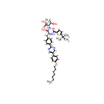 CCCCCCCOc1ccc(-c2cnc(-c3ccc(C[C@H](NC(=O)c4ccc(C(C)(C)C)s4)C(O)N[C@H](C(=O)O)[C@@H](C)O)cc3)nc2)cc1